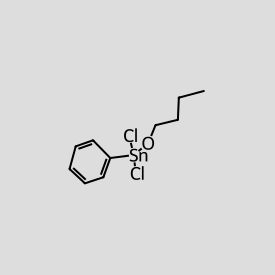 CCCC[O][Sn]([Cl])([Cl])[c]1ccccc1